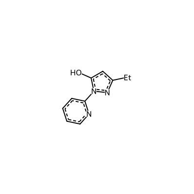 CCc1cc(O)n(-c2ccccn2)n1